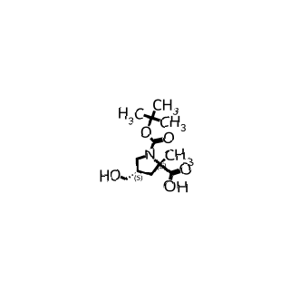 CC(C)(C)OC(=O)N1C[C@@H](CO)C[C@@]1(C)C(=O)O